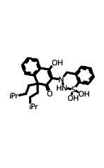 CC(C)CCC1(CCC(C)C)C(=O)C(N2Cc3ccccc3S(O)(O)N2)=C(O)c2ccccc21